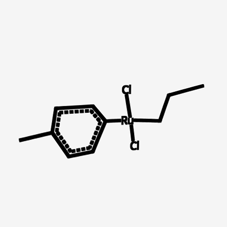 CC[CH2][Ru]([Cl])([Cl])[c]1ccc(C)cc1